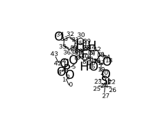 CCOP(=O)(CO[C@H]1C[C@@]2(C)[C@@H](C[C@@H](C)[C@]2(O)C(=O)CO[Si](C)(C)C(C)(C)C)[C@@H]2CCC3=CC(=O)C=C[C@]3(C)[C@@]12F)OCC